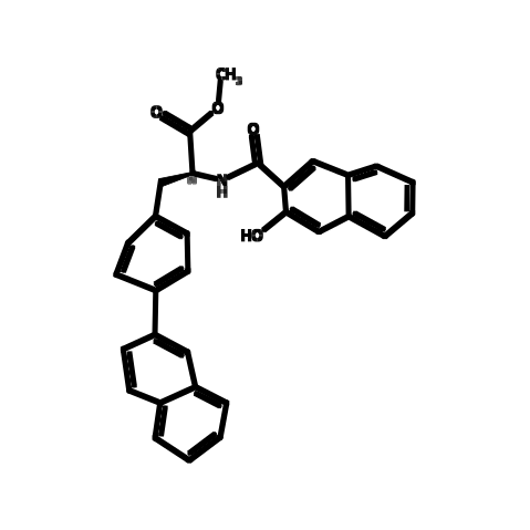 COC(=O)[C@H](Cc1ccc(-c2ccc3ccccc3c2)cc1)NC(=O)c1cc2ccccc2cc1O